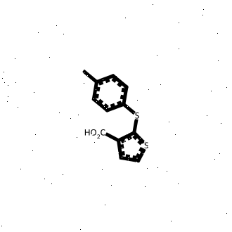 Cc1ccc(Sc2sccc2C(=O)O)cc1